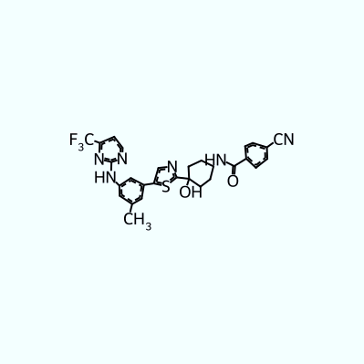 Cc1cc(Nc2nccc(C(F)(F)F)n2)cc(-c2cnc(C3(O)CCC(NC(=O)c4ccc(C#N)cc4)CC3)s2)c1